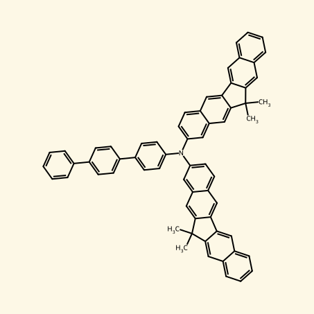 CC1(C)c2cc3ccccc3cc2-c2cc3ccc(N(c4ccc(-c5ccc(-c6ccccc6)cc5)cc4)c4ccc5cc6c(cc5c4)C(C)(C)c4cc5ccccc5cc4-6)cc3cc21